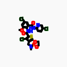 COc1cc(Cl)cc(C(=O)Nc2ccc(Cl)cn2)c1NC(=O)c1scc(CN(C)P2OCCO2)c1Cl